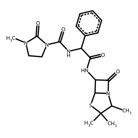 CC1N2C(=O)C(NC(=O)C(NC(=O)N3CCN(C)C3=O)c3ccccc3)C2SC1(C)C